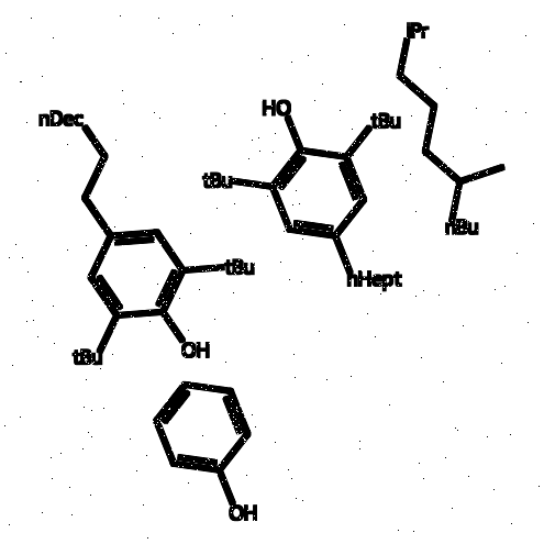 CCCCC(C)CCCC(C)C.CCCCCCCCCCCCc1cc(C(C)(C)C)c(O)c(C(C)(C)C)c1.CCCCCCCc1cc(C(C)(C)C)c(O)c(C(C)(C)C)c1.Oc1ccccc1